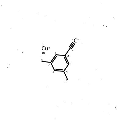 [C-]#Cc1cc(C)cc(C)c1.[Cu+]